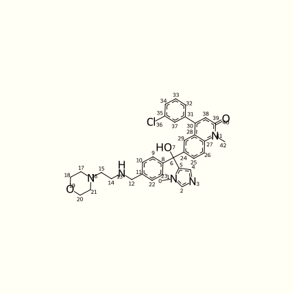 Cn1cncc1C(O)(c1ccc(CNCCN2CCOCC2)cc1)c1ccc2c(c1)c(-c1cccc(Cl)c1)cc(=O)n2C